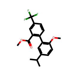 COC(=O)c1cc(C(F)(F)F)ccc1-c1cc(C(C)C)ccc1OC